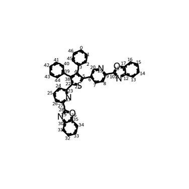 c1ccc(-c2c(-c3ccc(-c4nc5ccccc5o4)nc3)sc(-c3cccc(-c4nc5ccccc5o4)n3)c2-c2ccccc2)cc1